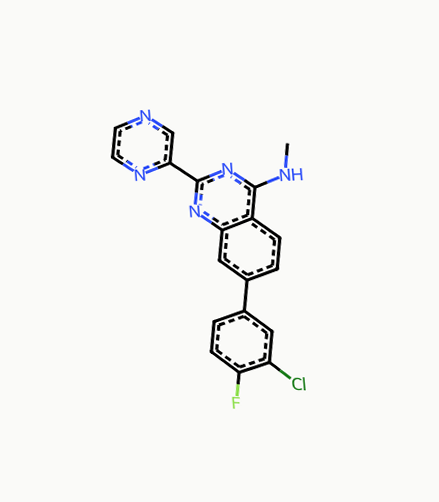 CNc1nc(-c2cnccn2)nc2cc(-c3ccc(F)c(Cl)c3)ccc12